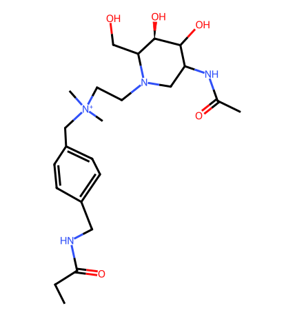 CCC(=O)NCc1ccc(C[N+](C)(C)CCN2CC(NC(C)=O)C(O)[C@H](O)C2CO)cc1